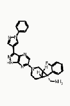 NC[C@]1(c2ccccc2F)[C@@H]2CCN(c3cnc4c(-c5cnn(-c6ccccc6)c5)n[nH]c4n3)C[C@@H]21